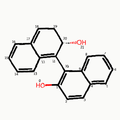 Oc1ccc2ccccc2c1C1=c2ccccc2=CC[C@@H]1O